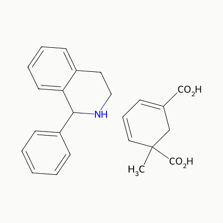 CC1(C(=O)O)C=CC=C(C(=O)O)C1.c1ccc(C2NCCc3ccccc32)cc1